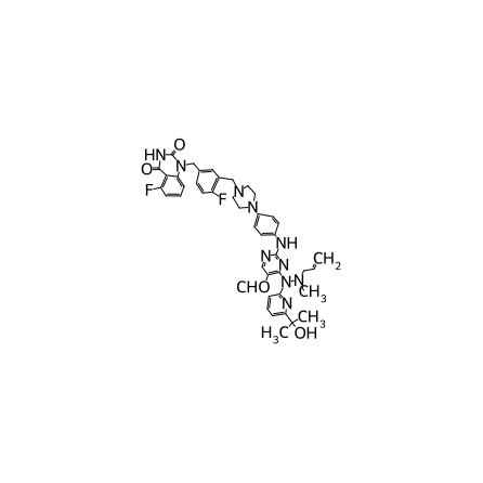 C=CCN(C)N(c1cccc(C(C)(C)O)n1)c1nc(Nc2ccc(N3CCN(Cc4cc(Cn5c(=O)[nH]c(=O)c6c(F)cccc65)ccc4F)CC3)cc2)ncc1C=O